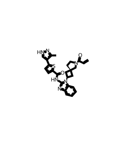 C=CC(=O)N1CC[C@]2(C1)C[C@H](n1c(NC(=O)c3ccc(-c4c[nH]nc4C)s3)nc3ccccc31)C2